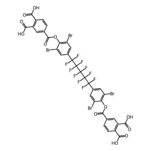 O=C(Oc1c(Br)cc(C(F)(F)C(F)(F)C(F)(F)C(F)(F)C(F)(F)c2cc(Br)c(OC(=O)c3ccc(C(=O)O)c(C(=O)O)c3)c(Br)c2)cc1Br)c1ccc(C(=O)O)c(C(=O)O)c1